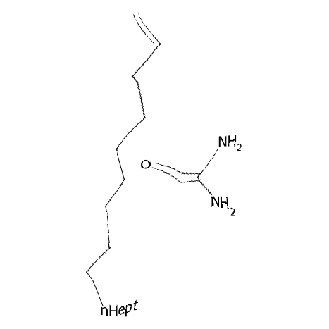 C=CCCCCCCCCCCCCCC.NC(N)=O